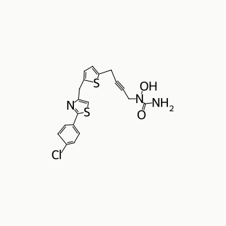 NC(=O)N(O)CC#CCc1ccc(Cc2csc(-c3ccc(Cl)cc3)n2)s1